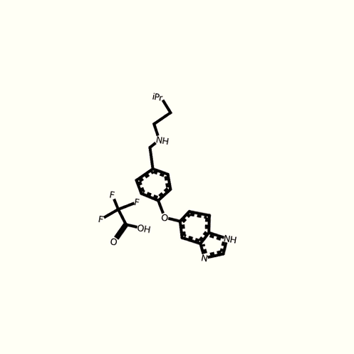 CC(C)CCNCc1ccc(Oc2ccc3[nH]cnc3c2)cc1.O=C(O)C(F)(F)F